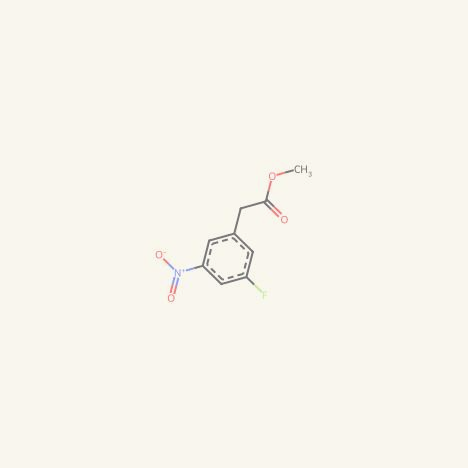 COC(=O)Cc1cc(F)cc([N+](=O)[O-])c1